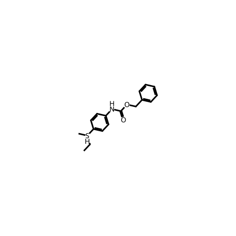 CC[SH](C)c1ccc(NC(=O)OCc2ccccc2)cc1